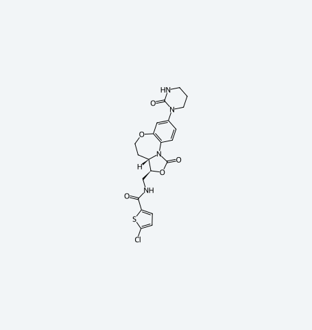 O=C(NC[C@@H]1OC(=O)N2c3ccc(N4CCCNC4=O)cc3OCC[C@@H]12)c1ccc(Cl)s1